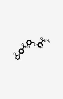 NC(=O)c1cncc(OCc2cccc(NC(=O)c3ccc(N4CCCC4=O)cc3)c2)c1